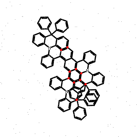 c1ccc(C2(c3ccccc3)c3ccccc3N(c3ccccc3-c3cccc4c(-c5ccccc5N5c6ccccc6C(c6ccccc6)(c6ccccc6)c6ccccc65)c5cccc(-c6ccccc6N6c7ccccc7C(c7ccccc7)(c7ccccc7)c7ccccc76)c5cc34)c3ccccc32)cc1